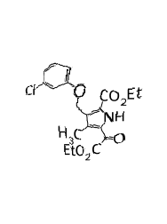 CCOC(=O)C(=O)c1[nH]c(C(=O)OCC)c(COc2cccc(Cl)c2)c1C